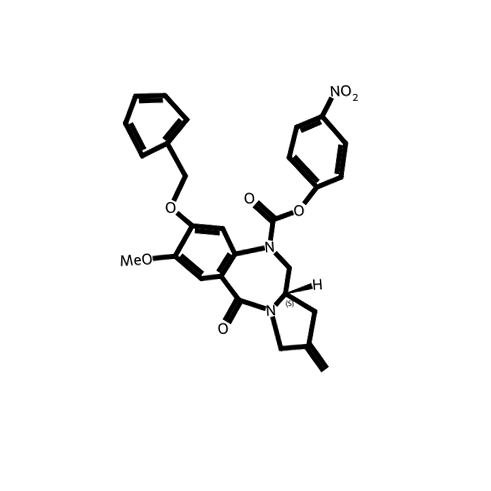 C=C1C[C@H]2CN(C(=O)Oc3ccc([N+](=O)[O-])cc3)c3cc(OCc4ccccc4)c(OC)cc3C(=O)N2C1